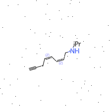 C#CC/C=C\C=C/CNC(C)C